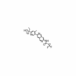 [2H][C@@](O)(CC)c1cc(C)c(-c2cc3cnc(NC(=O)[C@H]4CC4(F)F)cc3cn2)cn1